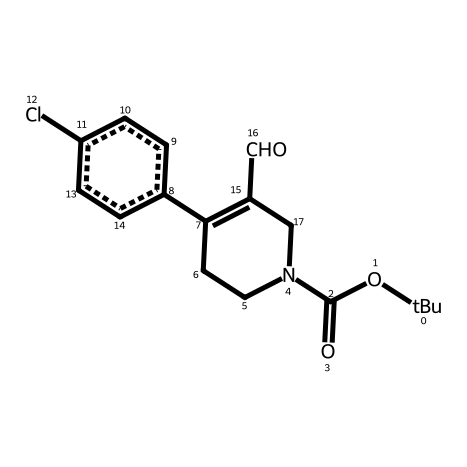 CC(C)(C)OC(=O)N1CCC(c2ccc(Cl)cc2)=C(C=O)C1